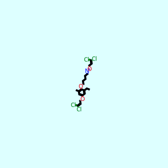 CCc1cc(OCC=C(Cl)Cl)cc(C)c1OCCCCC=NOCC=C(Cl)Cl